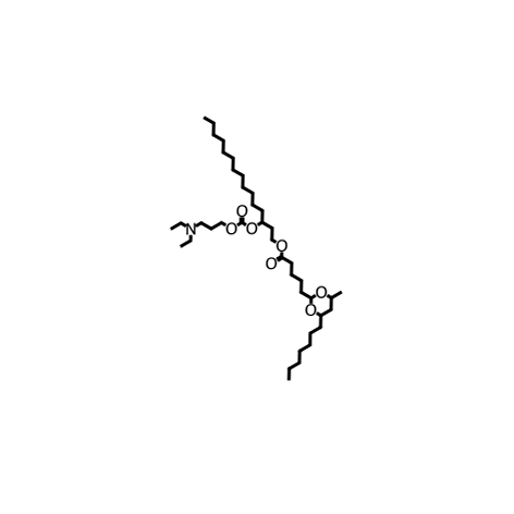 CCCCCCCCCCCCC(CCOC(=O)CCCCC1OC(C)CC(CCCCCCC)O1)OC(=O)OCCCN(CC)CC